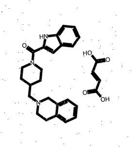 O=C(O)C=CC(=O)O.O=C(c1cc2ccccc2[nH]1)N1CCC(CN2CCc3ccccc3C2)CC1